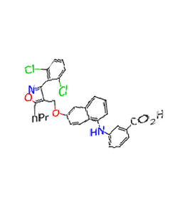 CCCc1onc(-c2c(Cl)cccc2Cl)c1COc1ccc2c(Nc3cccc(C(=O)O)c3)cccc2c1